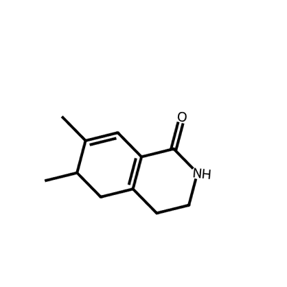 CC1=CC2=C(CCNC2=O)CC1C